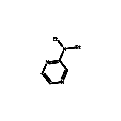 CCN(CC)c1cnc[c]n1